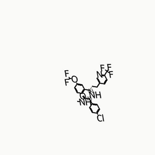 CNC(=O)[C@@H](N[C@@H](CCc1ccc(C(F)(F)F)nc1)c1cccc(OC(F)F)c1)c1ccc(Cl)cc1